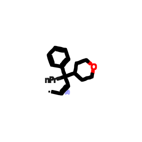 [CH2]/C=C\C(CCC)(c1ccccc1)C1CCOCC1